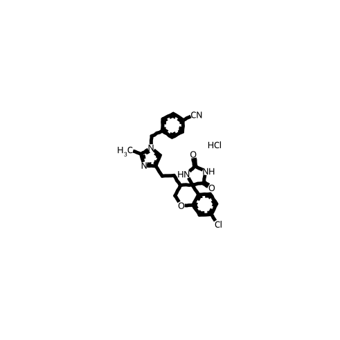 Cc1nc(CCC2COc3cc(Cl)ccc3C23NC(=O)NC3=O)cn1Cc1ccc(C#N)cc1.Cl